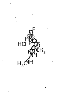 CNCCCNc1ncc2cc(-c3c(F)ccc(NS(=O)(=O)N4CC[C@@H](F)C4)c3F)c(=O)n(C)c2n1.Cl